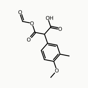 COc1ccc(C(C(=O)O)C(=O)OC=O)cc1C